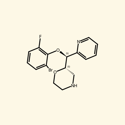 Fc1cccc(Br)c1O[C@@H](c1ccccn1)[C@@H]1CNCCO1